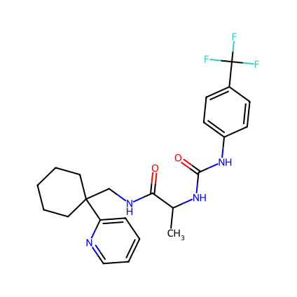 CC(NC(=O)Nc1ccc(C(F)(F)F)cc1)C(=O)NCC1(c2ccccn2)CCCCC1